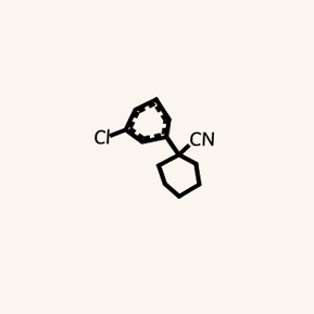 N#CC1(c2cccc(Cl)c2)CCCCC1